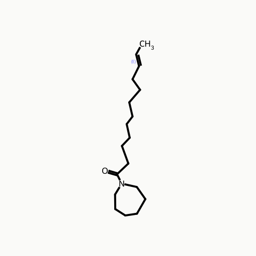 C/C=C/CCCCCCCCC(=O)N1CCCCCC1